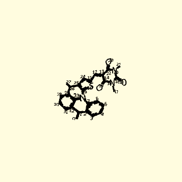 CC1c2ccccc2N2c3sc(C=C4C(=O)N(C)C(=O)N(C)C4=O)cc3C(C)c3cccc1c32